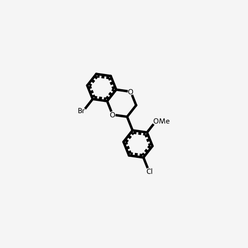 COc1cc(Cl)ccc1C1COc2cccc(Br)c2O1